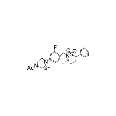 CC(=O)N1CCN(c2ccc(CN3[C@@H](C)CCC(c4ccccc4)S3(=O)=O)c(F)c2)[C@@H](C)C1